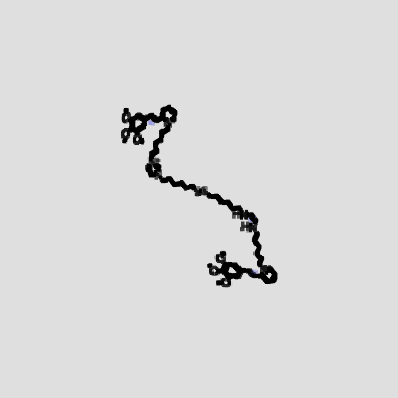 COc1cc(/C=C/c2cccc[n+]2CCCCCCN/C=C\NCCCCCCSSCCCCCCn2cc[n+](CCCCCC[n+]3ccccc3/C=C/c3cc(OC)c(OC)c(OC)c3)c2)cc(OC)c1OC